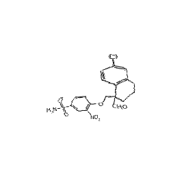 NS(=O)(=O)c1ccc(OCC2(C=O)CCCc3cc(Cl)ccc32)c([N+](=O)[O-])c1